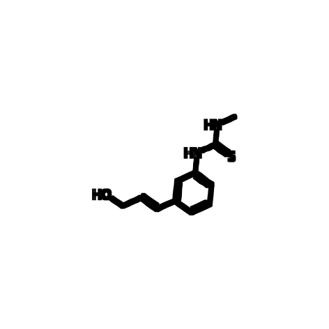 CNC(=S)Nc1cccc(/C=C/CO)c1